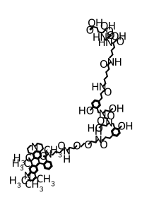 CC1=CC(C)(C)N=c2cc3c(cc21)=C(c1ccccc1C(=O)N(C)CCCC(=O)NCCOCCOCCNC(=O)CCc1ccc(O)c(CN(CCN(CC(=O)O)Cc2cc(CCC(=O)NCCCCCC(=O)NCCCCC(NC(=O)NC(CCC(=O)O)C(=O)O)C(=O)O)ccc2O)CC(=O)O)c1)c1cc2c4c(c1C3(C)C)CCCN4CCC2